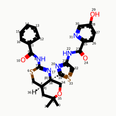 CC1(C)C[C@H]2CSC(NC(=O)c3ccccc3)=N[C@@]2(c2nc(NC(=O)c3ccc(O)cn3)cs2)CO1